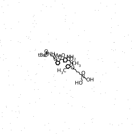 COc1c(C(=O)c2ccccc2OCCCNC(=O)OC(C)(C)C)ccc(C(=O)N(C)c2ccc(C)cc2OCCCCCC(=O)N(CCO)CCO)c1N